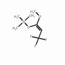 COC(=CC(F)(F)F)O[Si](C)(C)C